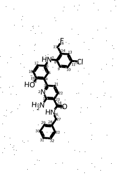 Nc1nc(-c2cc(Nc3ccc(Cl)cc3CF)ccc2O)ccc1C(=O)NCc1ccccc1